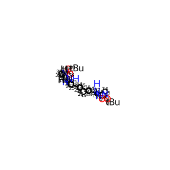 CC(C)(C)OC(=O)N1CCCC1c1ncc(-c2ccc3c(c2)CCc2cc(-c4ccc5nc([C@@H]6[C@H]7CC[C@H](C7)N6C(=O)OC(C)(C)C)[nH]c5c4)ccc2-3)[nH]1